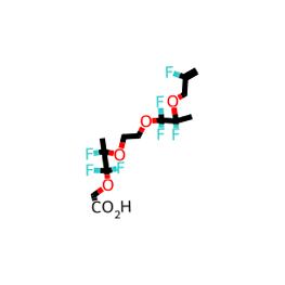 C=C(F)COC(C)(F)C(F)(F)OCCOC(C)(F)C(F)(F)OCC(=O)O